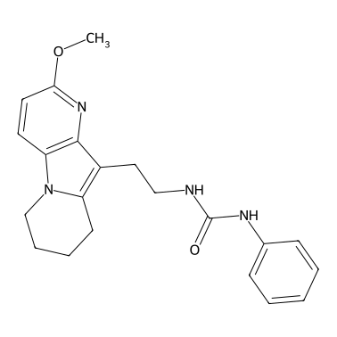 COc1ccc2c(n1)c(CCNC(=O)Nc1ccccc1)c1n2CCCC1